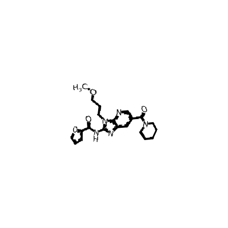 COCCCn1c(NC(=O)c2ccco2)nc2cc(C(=O)N3CCCCC3)cnc21